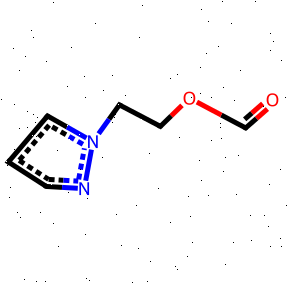 O=COCCn1cccn1